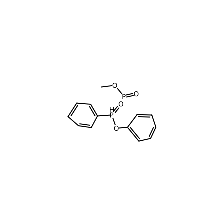 COP=O.O=[PH](Oc1ccccc1)c1ccccc1